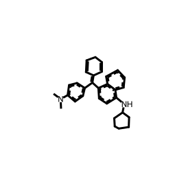 CN(C)c1ccc(C(=C2C=CCC=C2)c2ccc(NC3CCCCC3)c3ccccc23)cc1